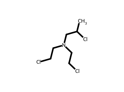 CC(Cl)CN(CCCl)CCCl